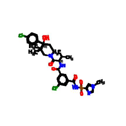 CC(C)[C@@H](NC(=O)c1cc(Cl)cc(C(=O)NS(=O)(=O)c2cn(C)cn2)c1)C(=O)N1CC[C@](O)(c2ccc(Cl)cc2)C(C)(C)C1